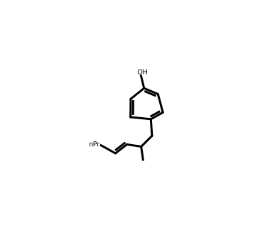 CCCC=CC(C)Cc1ccc(O)cc1